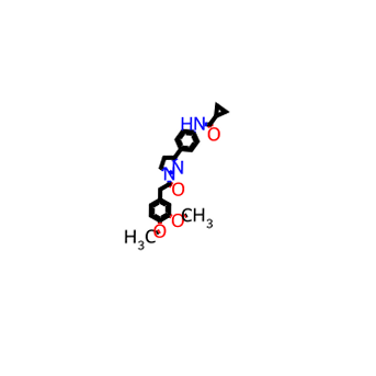 COc1ccc(CC(=O)N2CCC(c3ccc(NC(=O)C4CC4)cc3)=N2)cc1OC